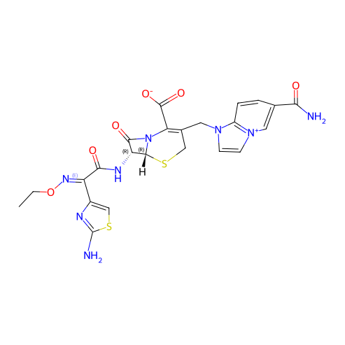 CCO/N=C(/C(=O)N[C@@H]1C(=O)N2C(C(=O)[O-])=C(Cn3cc[n+]4cc(C(N)=O)ccc34)CS[C@H]12)c1csc(N)n1